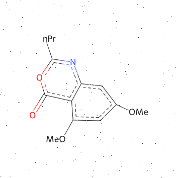 CCCc1nc2cc(OC)cc(OC)c2c(=O)o1